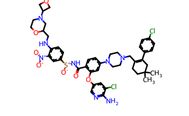 CC1(C)CCC(CN2CCN(c3ccc(C(=O)N[S+]([O-])c4ccc(NCC5CN(C6COC6)CCO5)c([N+](=O)[O-])c4)c(Oc4cnc(N)c(Cl)c4)c3)CC2)=C(c2ccc(Cl)cc2)C1